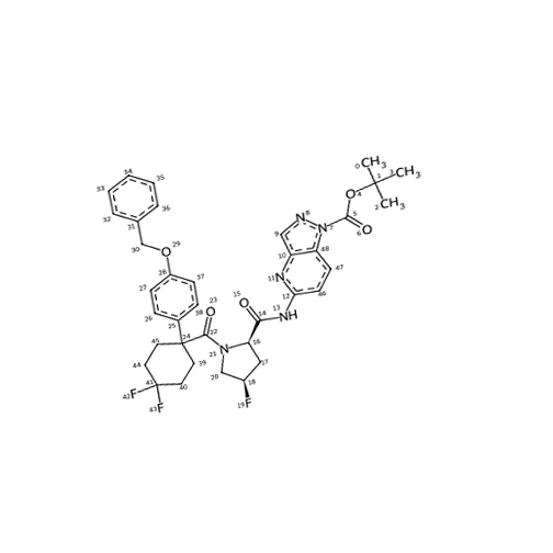 CC(C)(C)OC(=O)n1ncc2nc(NC(=O)[C@H]3C[C@@H](F)CN3C(=O)C3(c4ccc(OCc5ccccc5)cc4)CCC(F)(F)CC3)ccc21